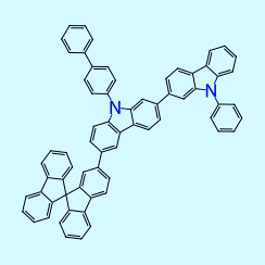 c1ccc(-c2ccc(-n3c4ccc(-c5ccc6c(c5)C5(c7ccccc7-c7ccccc75)c5ccccc5-6)cc4c4ccc(-c5ccc6c7ccccc7n(-c7ccccc7)c6c5)cc43)cc2)cc1